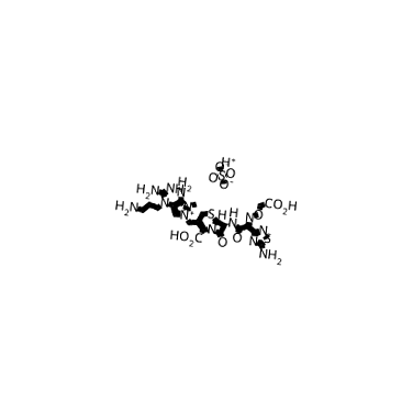 Cn1c(N)c(N(CCCN)C(=N)N)c[n+]1CC1=C(C(=O)O)N2C(=O)[C@@H](NC(=O)C(=NOCC(=O)O)c3nsc(N)n3)[C@H]2SC1.O=S(=O)([O-])[O-].[H+]